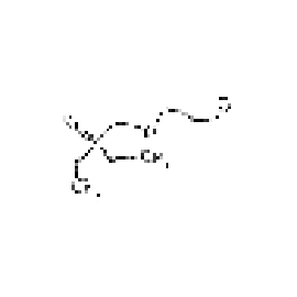 O=P(COCCCl)(CC(F)(F)F)CC(F)(F)F